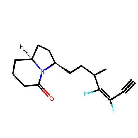 C#C/C(F)=C(/F)C(C)CC[C@@H]1CC[C@@H]2CCCC(=O)N12